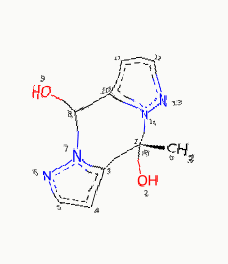 C[C@@]1(O)c2ccnn2C(O)c2ccnn21